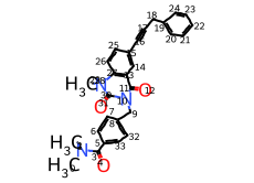 CN(C)C(=O)c1ccc(Cn2c(=O)c3cc(C#CCc4ccccc4)ccc3n(C)c2=O)cc1